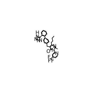 CCCCc1nc(C)n(-c2cc(C(F)(F)F)ccn2)c(=O)c1Cc1ccc(-c2ccccc2-c2nnn[nH]2)cc1